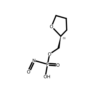 O=NP(=O)(O)OC[C@@H]1CCCO1